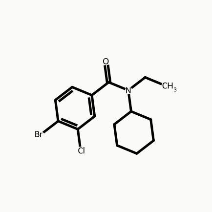 CCN(C(=O)c1ccc(Br)c(Cl)c1)C1CCCCC1